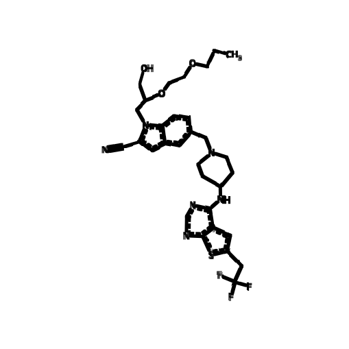 CCCOCCOC(CO)Cn1c(C#N)cc2cc(CN3CCC(Nc4ncnc5sc(CC(F)(F)F)cc45)CC3)ccc21